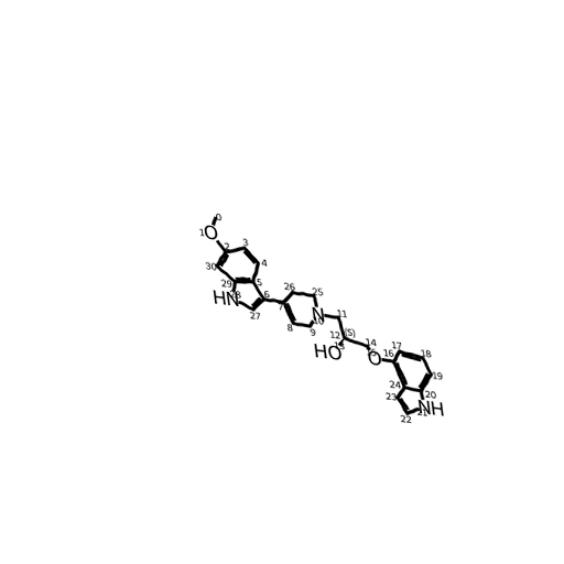 COc1ccc2c(C3=CCN(C[C@H](O)COc4cccc5[nH]ccc45)CC3)c[nH]c2c1